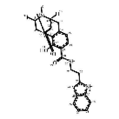 CN1C(I)C[C@]23CC(=O)CCC2[C@H]1Cc1ccc(C(=O)NCCc2nc4ccccc4[nH]2)c(O)c13